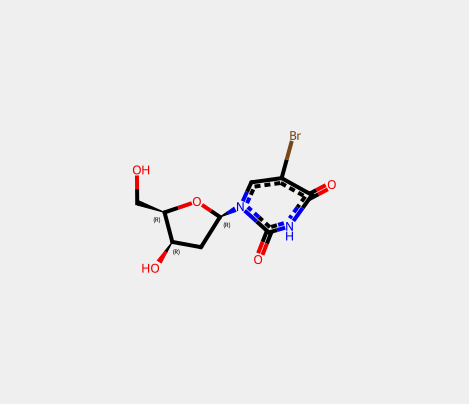 O=c1[nH]c(=O)n([C@H]2C[C@@H](O)[C@@H](CO)O2)cc1Br